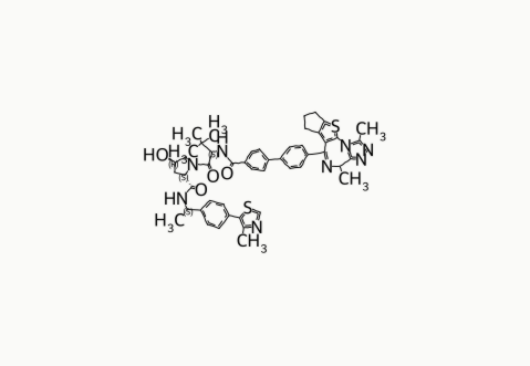 Cc1ncsc1-c1ccc([C@H](C)NC(=O)[C@@H]2C[C@@H](O)CN2C(=O)[C@@H](NC(=O)c2ccc(-c3ccc(C4=NC(C)c5nnc(C)n5-c5sc6c(c54)CCC6)cc3)cc2)C(C)(C)C)cc1